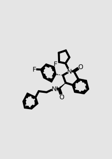 O=C(NCCc1ccccc1)[C@@H]1c2ccccc2C(=O)N(C2CCCC2)[C@H]1c1ccc(F)cc1F